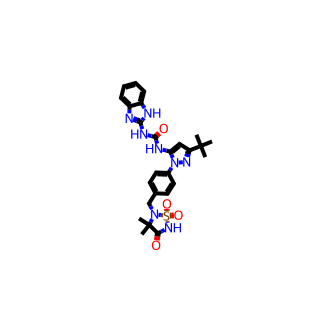 CC(C)(C)c1cc(NC(=O)Nc2nc3ccccc3[nH]2)n(-c2ccc(CN3C(C)(C)C(=O)NS3(=O)=O)cc2)n1